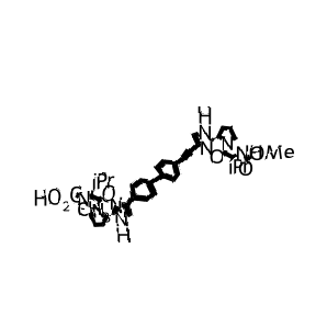 COC(=O)N[C@H](C(=O)N1CCC[C@H]1c1nc(C#Cc2ccc(-c3ccc(-c4c[nH]c([C@@H]5CCCN5C(=O)[C@H](C(C)C)N(C)C(=O)O)n4)cc3)cc2)c[nH]1)C(C)C